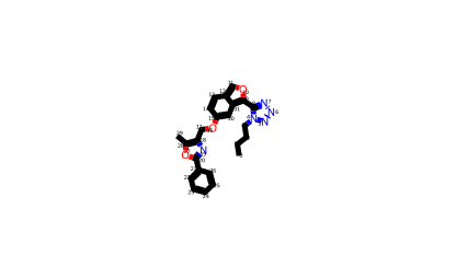 CCCCn1nnnc1-c1occ2ccc(OCc3nc(-c4ccccc4)oc3C)cc12